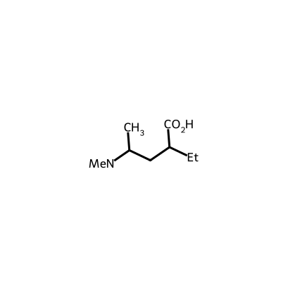 CCC(CC(C)NC)C(=O)O